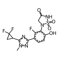 Cn1nc(-c2ccc(O)c(N3CC(=O)NS3(=O)=O)c2F)nc1C1CC1(F)F